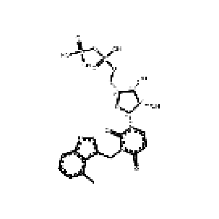 Cc1cccc2onc(Cn3c(=O)ccn([C@@H]4O[C@H](COP(=O)(O)OP(=O)(O)O)[C@H](O)[C@@H]4O)c3=O)c12